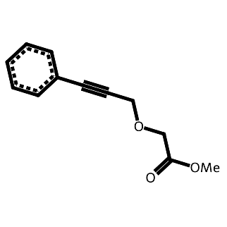 COC(=O)COCC#Cc1ccccc1